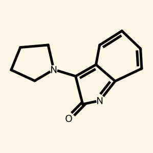 O=C1N=c2ccccc2=C1N1CCCC1